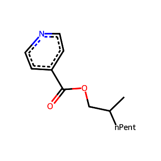 CCCCCC(C)COC(=O)c1ccncc1